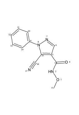 CONC(=O)c1cnn(-c2ccccc2)c1C#N